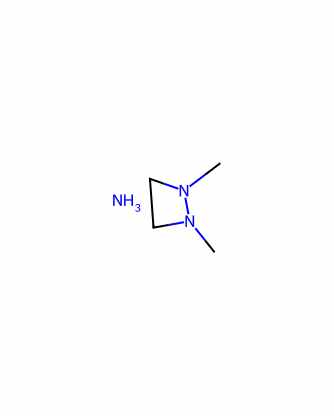 CN1CCN1C.N